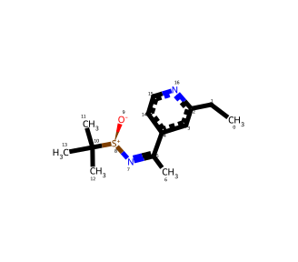 CCc1cc(/C(C)=N\[S@+]([O-])C(C)(C)C)ccn1